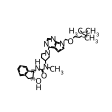 CN(C(=O)N[C@@H]1c2ccccc2C[C@H]1O)C1CCN(c2ncnc3c2ccn3COCC[Si](C)(C)C)C1